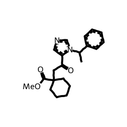 COC(=O)C1(CC(=O)c2cncn2C(C)c2ccccc2)CCCCC1